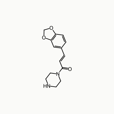 O=C(C=Cc1ccc2c(c1)OCO2)N1CCNCC1